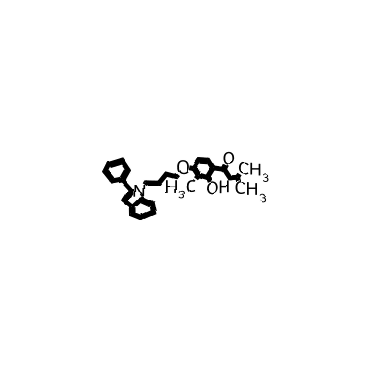 Cc1c(OCCCCn2c(-c3ccccc3)cc3ccccc32)ccc(C(=O)CC(C)C)c1O